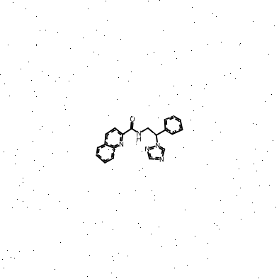 O=C(NCC(c1ccccc1)n1cncn1)c1ccc2ccccc2n1